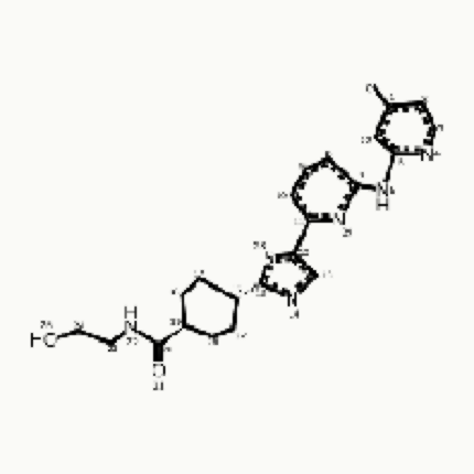 Cc1ccnc(Nc2cccc(-c3cnc([C@H]4CC[C@H](C(=O)NCCO)CC4)s3)n2)c1